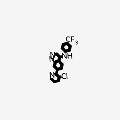 FC(F)(F)c1ccc(Nc2cnnc3cc(-c4ncccc4Cl)ccc23)cc1